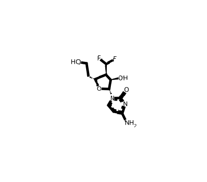 Nc1ccn([C@@H]2O[C@H](CCO)[C@@H](C(F)F)[C@H]2O)c(=O)n1